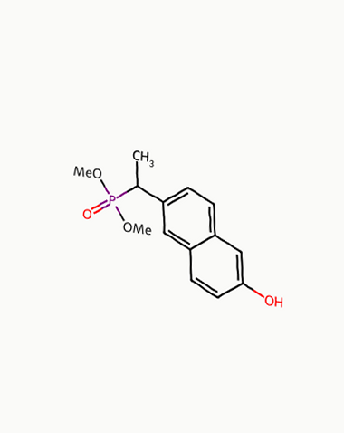 COP(=O)(OC)C(C)c1ccc2cc(O)ccc2c1